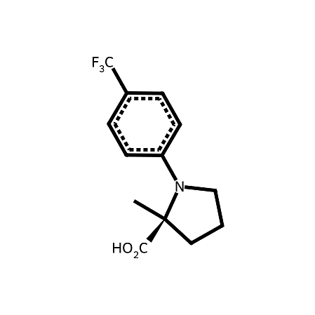 C[C@@]1(C(=O)O)CCCN1c1ccc(C(F)(F)F)cc1